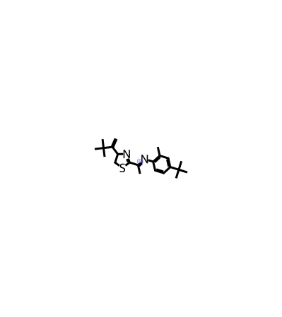 C=C(C1CSC(/C(C)=N/c2ccc(C(C)(C)C)cc2C)=N1)C(C)(C)C